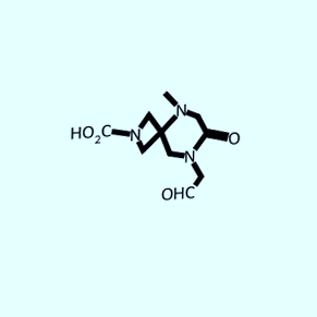 CN1CC(=O)N(CC=O)CC12CN(C(=O)O)C2